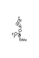 COCCO/N=C(/c1ccc(CN2CCC3(CC2)OCc2cc(F)ncc23)cc1)c1ccc(F)c(F)c1